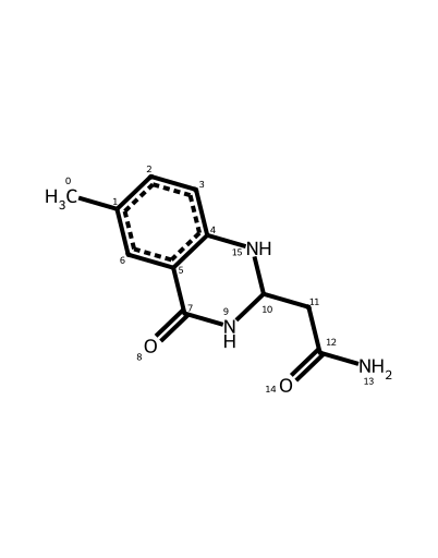 Cc1ccc2c(c1)C(=O)NC(CC(N)=O)N2